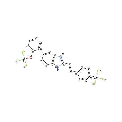 FC(F)(F)Oc1ccccc1-c1ccc2[nH]c(C=Cc3ccc(C(F)(F)F)cc3)nc2c1